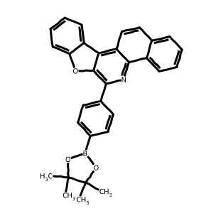 CC1(C)OB(c2ccc(-c3nc4c5ccccc5ccc4c4c3oc3ccccc34)cc2)OC1(C)C